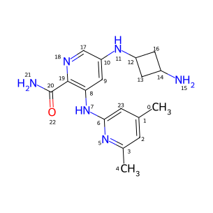 Cc1cc(C)nc(Nc2cc(NC3CC(N)C3)cnc2C(N)=O)c1